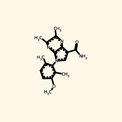 COc1ccc(C)c(-n2cc(C(N)=O)c3nc(C)c(C)nc32)c1C